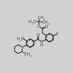 C[C@H]1CCCCN1c1ccc(C(=O)Nc2ccc(F)cc2CC(=O)OC(C)(C)C)cc1N